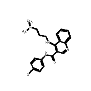 CN(C)CCCNc1c(C(=O)Nc2ccc(Cl)cc2)cnc2ccccc12